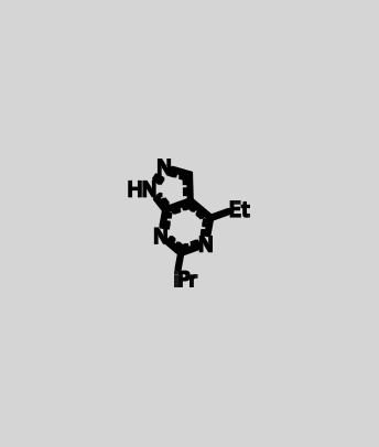 CCc1nc(C(C)C)nc2[nH]ncc12